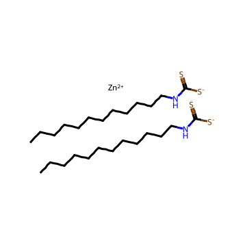 CCCCCCCCCCCCNC(=S)[S-].CCCCCCCCCCCCNC(=S)[S-].[Zn+2]